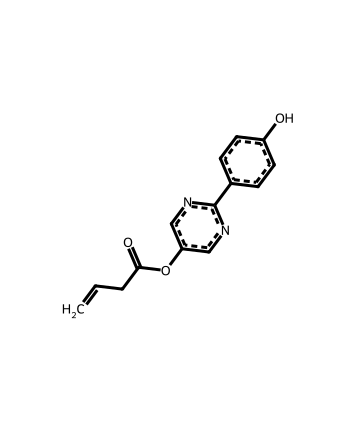 C=CCC(=O)Oc1cnc(-c2ccc(O)cc2)nc1